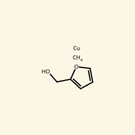 C.OCc1ccco1.[Cu]